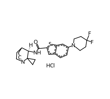 Cl.O=C(N[C@@H]1C2CCN(CC2)C12CC2)c1cc2ccc(N3CCC(F)(F)CC3)cc2s1